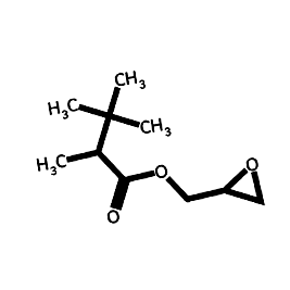 CC(C(=O)OCC1CO1)C(C)(C)C